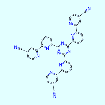 N#Cc1ccnc(-c2cccc(-c3nc(-c4cccc(-c5cc(C#N)ccn5)n4)nc(-c4cccc(-c5cc(C#N)ccn5)n4)n3)n2)c1